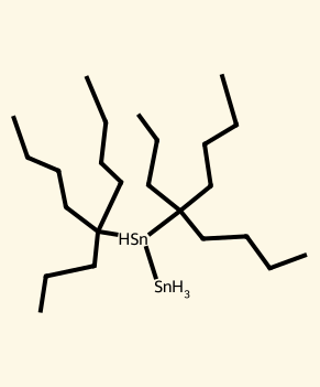 CCCC[C](CCC)(CCCC)[SnH]([SnH3])[C](CCC)(CCCC)CCCC